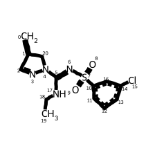 C=C1C=NN(/C(=N/S(=O)(=O)c2cccc(Cl)c2)NCC)C1